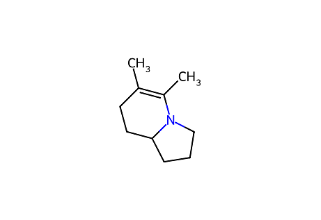 CC1=C(C)N2CCCC2CC1